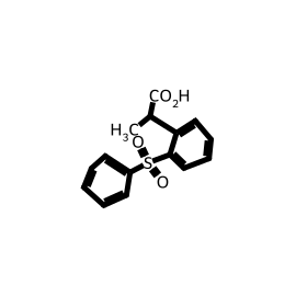 CC(C(=O)O)c1ccccc1S(=O)(=O)c1ccccc1